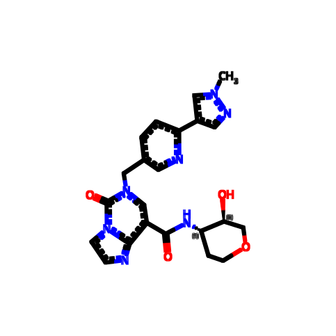 Cn1cc(-c2ccc(Cn3cc(C(=O)N[C@H]4CCOC[C@@H]4O)c4nccn4c3=O)cn2)cn1